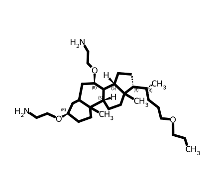 CCCOCCC[C@@H](C)[C@H]1CC[C@H]2C3[C@H](OCCN)CC4C[C@H](OCCN)CCC4(C)[C@H]3CCC12C